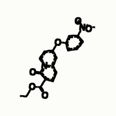 CCOC(=O)c1ccc2cc(Oc3cccc([N+](=O)[O-])c3)ccn2c1=O